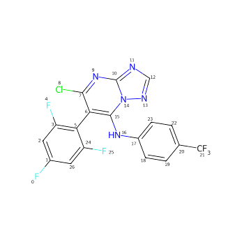 Fc1cc(F)c(-c2c(Cl)nc3ncnn3c2Nc2ccc(C(F)(F)F)cc2)c(F)c1